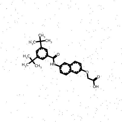 CC(C)(C)c1cc(C(=O)Nc2ccc3cc(OCC(=O)O)ccc3c2)cc(C(C)(C)C)c1